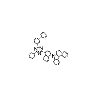 c1ccc(-c2cccc(-c3nc(-c4ccccc4)nc(-c4ccc(-n5c6ccccc6c6c7ccccc7ccc65)c5ccccc45)n3)c2)cc1